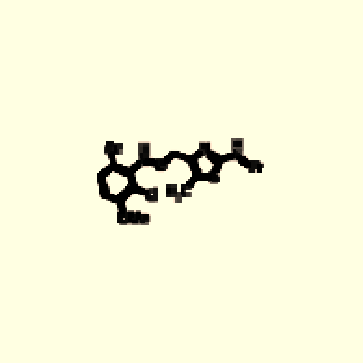 COc1ccc(C(C)=O)c(NOCc2nc(NC(C)C)sc2C)c1Cl